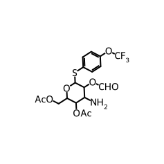 CC(=O)OCC1OC(Sc2ccc(OC(F)(F)F)cc2)C(OC=O)C(N)C1OC(C)=O